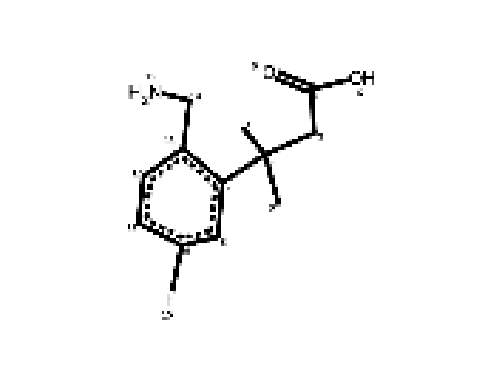 CC(C)(CC(=O)O)c1cc(F)ccc1CN